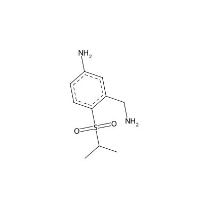 CC(C)S(=O)(=O)c1ccc(N)cc1CN